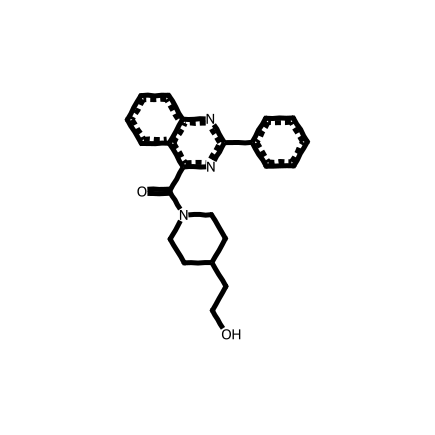 O=C(c1nc(-c2ccccc2)nc2ccccc12)N1CCC(CCO)CC1